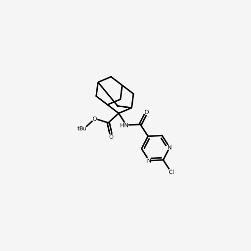 CC(C)(C)OC(=O)C1(NC(=O)c2cnc(Cl)nc2)C2CC3CC(C2)CC1C3